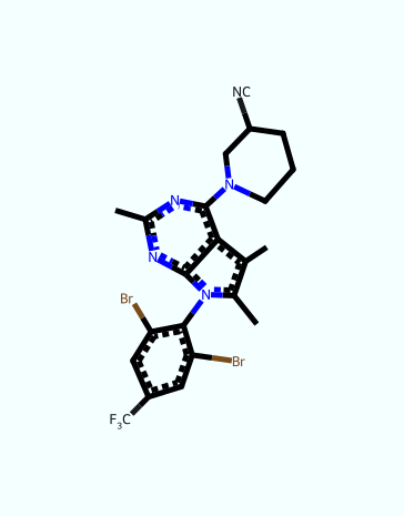 [C-]#[N+]C1CCCN(c2nc(C)nc3c2c(C)c(C)n3-c2c(Br)cc(C(F)(F)F)cc2Br)C1